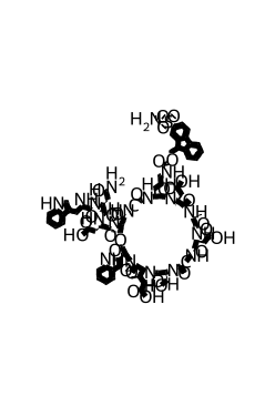 C[C@H](CC(=O)O)[C@@H]1NC(=O)[C@@H](CO)NC(=O)CNC(=O)[C@H](CC(=O)O)NC(=O)[C@@H](C)NC(=O)[C@H](CC(=O)O)NC(=O)[C@H](CCCNC(=O)OCC2c3ccccc3-c3ccc(S(=O)(=O)ON)cc32)NC(=O)CNC(=O)[C@@H](NC(=O)[C@H](CC(=O)O)NC(=O)[C@@H](CC(N)=O)NC(=O)C(N)Cc2c[nH]c3ccccc23)[C@@H](C)OC(=O)[C@H](CC(=O)c2ccccc2N)NC1=O